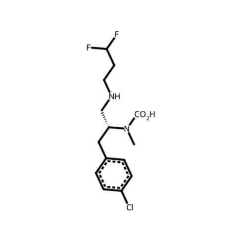 CN(C(=O)O)[C@@H](CNCCC(F)F)Cc1ccc(Cl)cc1